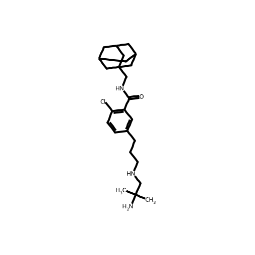 CC(C)(N)CNCCCc1ccc(Cl)c(C(=O)NCC23CC4CC(CC(C4)C2)C3)c1